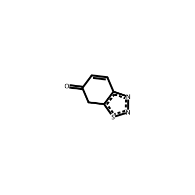 O=C1C=Cc2nnsc2C1